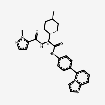 Cn1nccc1C(=O)N[C@H](C(=O)Nc1ccc(-c2cccc3nccn23)cc1)[C@H]1CC[C@H](C)CC1